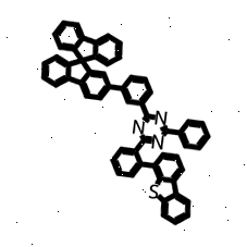 c1ccc(-c2nc(-c3cccc(-c4ccc5c(c4)C4(c6ccccc6-c6ccccc64)c4ccccc4-5)c3)nc(-c3ccccc3-c3cccc4c3sc3ccccc34)n2)cc1